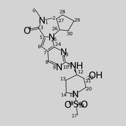 CN(C)C(=O)c1cc2cnc(N[C@@H]3CCN(S(C)(=O)=O)C[C@H]3O)nc2n1C1CCCC1